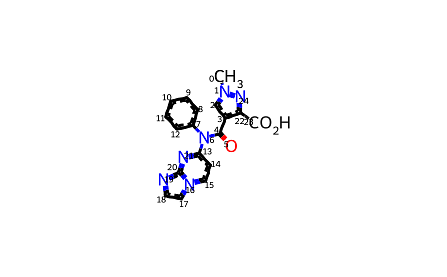 Cn1cc(C(=O)N(c2ccccc2)c2ccn3ccnc3n2)c(C(=O)O)n1